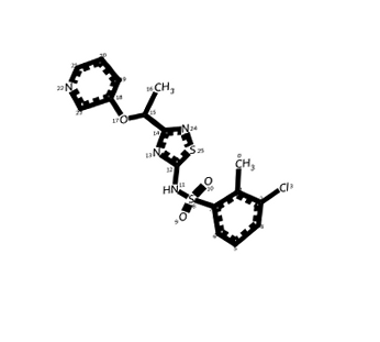 Cc1c(Cl)cccc1S(=O)(=O)Nc1nc(C(C)Oc2cccnc2)ns1